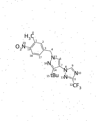 Cc1cc(Cn2cc(-n3cnc(C(F)(F)F)n3)c(C(C)(C)C)n2)ccc1[N+](=O)[O-]